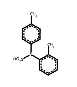 Cc1ccc(N(c2ccccc2C)S(=O)(=O)O)cc1